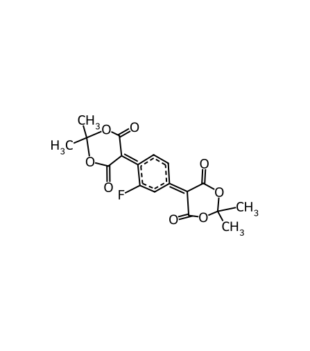 CC1(C)OC(=O)C(=c2ccc(=C3C(=O)OC(C)(C)OC3=O)c(F)c2)C(=O)O1